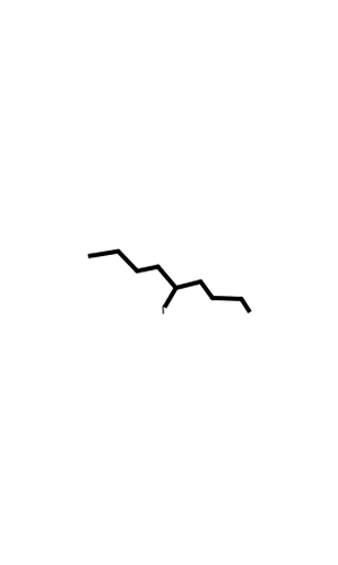 CCCCC(I)CCCC